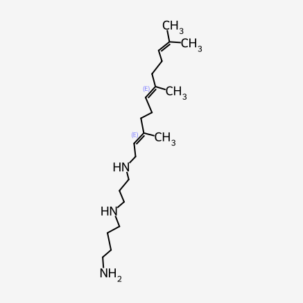 CC(C)=CCC/C(C)=C/CC/C(C)=C/CNCCCNCCCCN